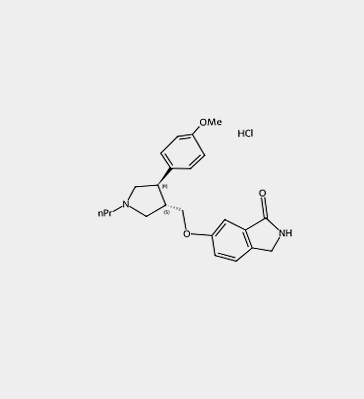 CCCN1C[C@@H](COc2ccc3c(c2)C(=O)NC3)[C@H](c2ccc(OC)cc2)C1.Cl